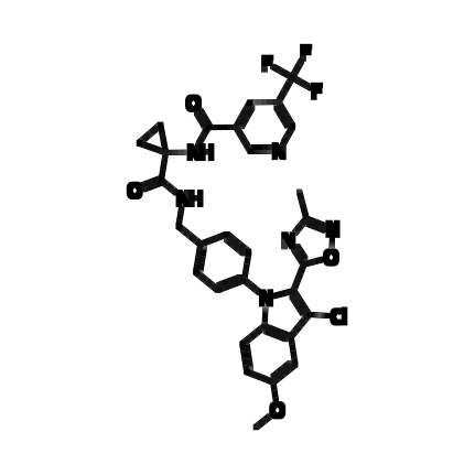 COc1ccc2c(c1)c(Cl)c(-c1nc(C)no1)n2-c1ccc(CNC(=O)C2(NC(=O)c3cncc(C(F)(F)F)c3)CC2)cc1